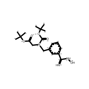 CC(C)(C)OC(=O)CN(Cc1cccc(C(=N)NO)c1)C(=O)OC(C)(C)C